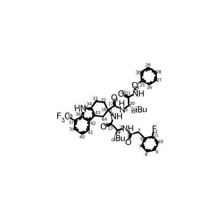 CCC(C)[C@H](NC(=O)Cc1ccccc1F)C(=O)N[C@]1(C(=O)NC(C(=O)NOc2ccccc2)[C@@H](C)CC)CCc2[nH]c3c(C(F)(F)F)cccc3c2C1